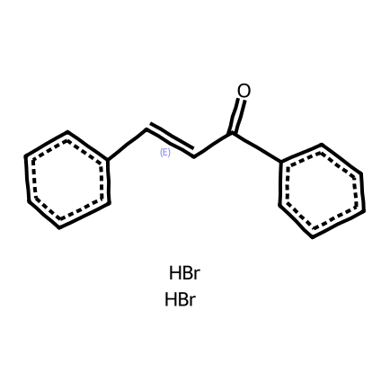 Br.Br.O=C(/C=C/c1ccccc1)c1ccccc1